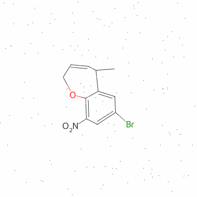 CC1C=CCOc2c1cc(Br)cc2[N+](=O)[O-]